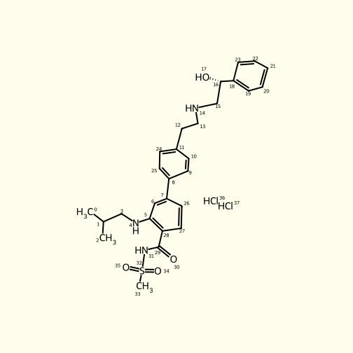 CC(C)CNc1cc(-c2ccc(CCNC[C@H](O)c3ccccc3)cc2)ccc1C(=O)NS(C)(=O)=O.Cl.Cl